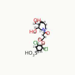 O=C(CCC(=O)N1CCC#C[C@H](CO)C(CO)C1)Oc1c(Cl)cc(S(=O)(=O)O)cc1Cl